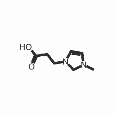 CN1C=CN(CCC(=O)O)C1